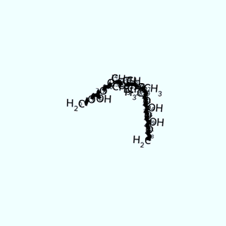 C=CCOCC(O)COCCOC(C)(C)COC(C)(CC)C(C)(C)CCOC(C)(C)CCOCC(O)COCC(O)COCC=C